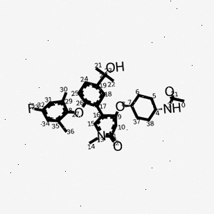 CC(=O)N[C@H]1CC[C@H](Oc2cc(=O)n(C)cc2-c2cc(C(C)(C)O)ccc2Oc2c(C)cc(F)cc2C)CC1